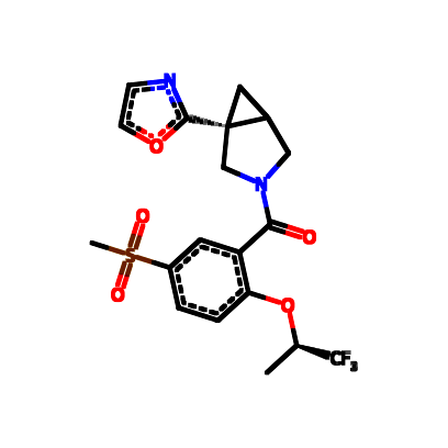 C[C@@H](Oc1ccc(S(C)(=O)=O)cc1C(=O)N1CC2C[C@]2(c2ncco2)C1)C(F)(F)F